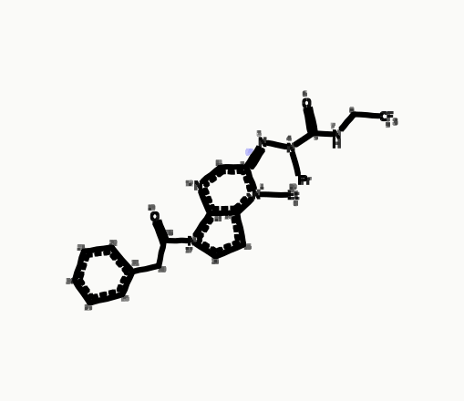 CCn1/c(=N\N(C(=O)NCC(F)(F)F)C(C)C)cnc2c1ccn2C(=O)Cc1ccccc1